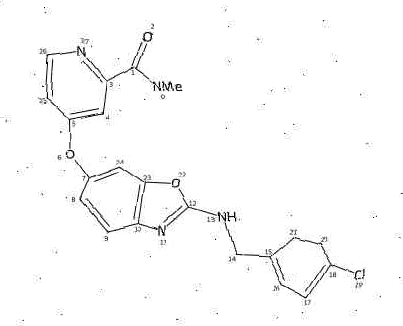 CNC(=O)c1cc(Oc2ccc3nc(NCC4=CC=C(Cl)CC4)oc3c2)ccn1